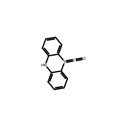 O=C=S1c2ccccc2Nc2ccccc21